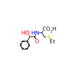 CCSCC(NC(=O)C(O)c1ccccc1)C(=O)O